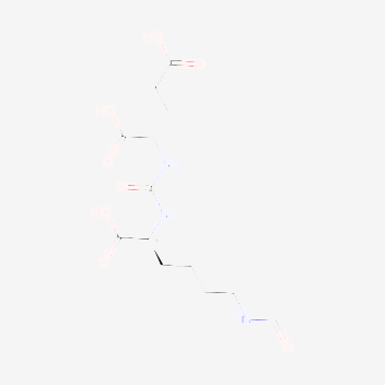 O=CNCCCC[C@H](NC(=O)N[C@@H](CCC(=O)O)C(=O)O)C(=O)O